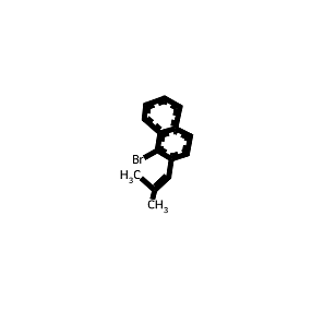 CC(C)=Cc1ccc2ccccc2c1Br